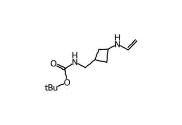 C=CNC1CC(CNC(=O)OC(C)(C)C)C1